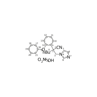 CCCCC(C#N)(Cn1ccnc1)c1ccccc1Oc1ccccc1.O=[N+]([O-])O